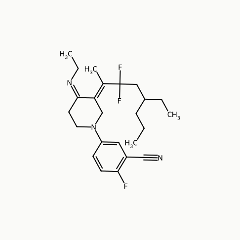 CCCC(CC)CC(F)(F)/C(C)=C1\CN(c2ccc(F)c(C#N)c2)CC\C1=N\CC